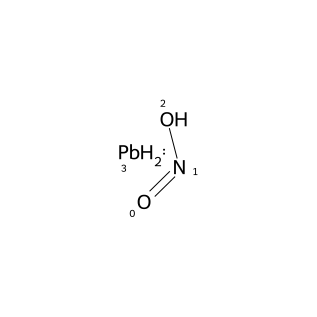 O=NO.[PbH2]